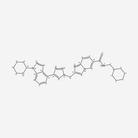 O=C(NCC1CCCCC1)c1ccc2nc(Cn3cc(-c4cccc5c4cnn5C4CCCCO4)nn3)cn2c1